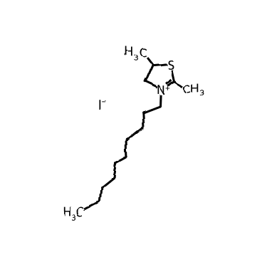 CCCCCCCCCC[N+]1=C(C)SC(C)C1.[I-]